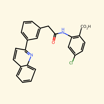 O=C(Cc1cccc(-c2ccc3ccccc3n2)c1)Nc1cc(Cl)ccc1C(=O)O